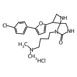 CN(C)CCCCN1C(=O)NCC12NCC2c1ccc(-c2ccc(Cl)cc2)o1.Cl